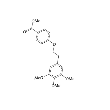 COC(=O)c1ccc(OCCc2cc(OC)c(OC)c(OC)c2)cc1